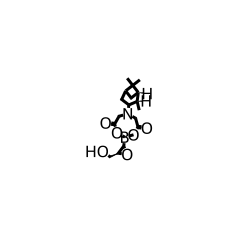 C[C@H]1C(N2CC(=O)OB(C3O[C@H]3CO)OC(=O)C2)CC2C[C@H]1C2(C)C